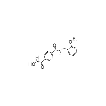 CCOc1ccccc1CNC(=O)c1ccc(C(=O)NO)cc1